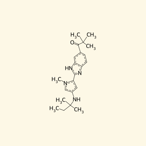 CCC(C)(C)Nc1cc(-c2nc3ccc(C(=O)C(C)(C)C)cc3[nH]2)n(C)c1